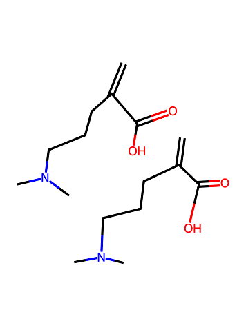 C=C(CCCN(C)C)C(=O)O.C=C(CCCN(C)C)C(=O)O